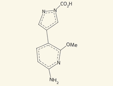 COc1nc(N)ccc1-c1cnn(C(=O)O)c1